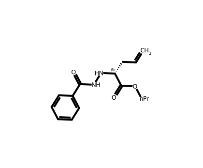 C=CC[C@@H](NNC(=O)c1ccccc1)C(=O)OCCC